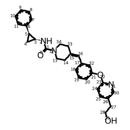 O=C(N[C@@H]1C[C@H]1c1ccccc1)N1CCC(=Cc2cccc(Oc3ccc(CCO)cn3)c2)CC1